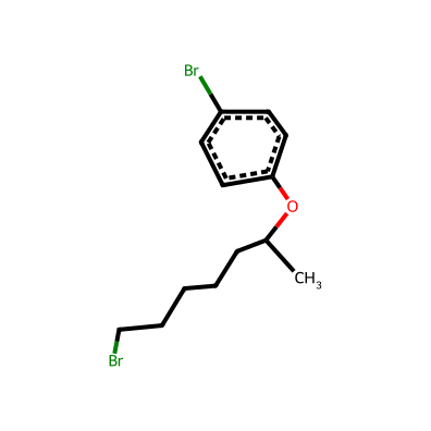 CC(CCCCCBr)Oc1ccc(Br)cc1